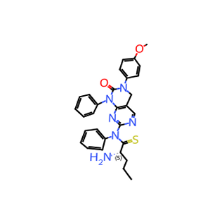 CCC[C@H](N)C(=S)N(c1ccccc1)c1ncc2c(n1)N(c1ccccc1)C(=O)N(c1ccc(OC)cc1)C2